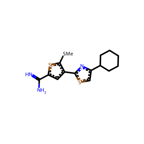 CSc1sc(C(=N)N)cc1-c1nc(C2CCCCC2)cs1